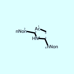 CC(C)=O.CCCCCCCCCCNCCCCCCCCCC